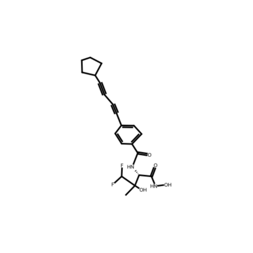 CC(O)(C(F)F)[C@H](NC(=O)c1ccc(C#CC#CC2CCCC2)cc1)C(=O)NO